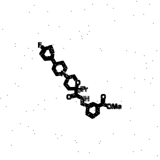 COC(=O)c1cccc(CNC(=O)[C@@]2(C(C)C)CCC(N3CCC(c4ccc(F)cc4)CC3)CO2)c1